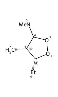 CC[C@H]1OOC(NC)[C@H]1C